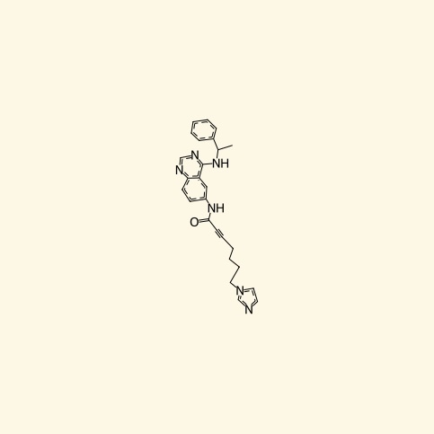 CC(Nc1ncnc2ccc(NC(=O)C#CCCCCn3ccnc3)cc12)c1ccccc1